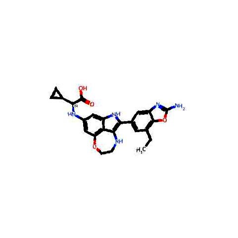 CCc1cc(-c2[nH]c3cc(N[C@H](C(=O)O)C4CC4)cc4c3c2NCCO4)cc2nc(N)oc12